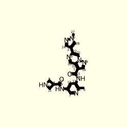 Cc1ncc(NC(=O)C2CNC2)cc1NC(=O)c1cnn2cc(-c3cnn(C)c3)ncc12